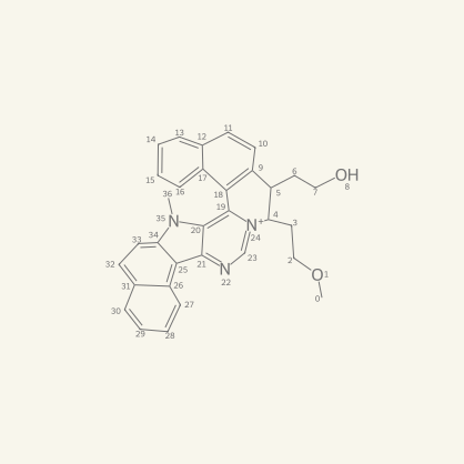 COCCC1C(CCO)c2ccc3ccccc3c2-c2c3c(nc[n+]21)c1c2ccccc2ccc1n3C